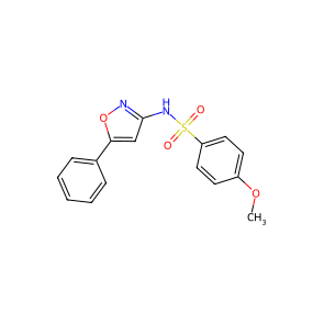 COc1ccc(S(=O)(=O)Nc2cc(-c3ccccc3)on2)cc1